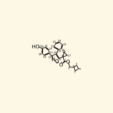 O=C(OCC1CCC1)C1(c2onc(-c3ccc(O)cc3)c2-c2ccccc2)CC1